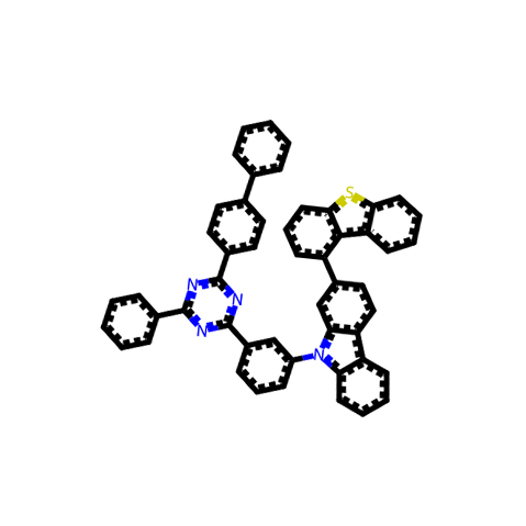 c1ccc(-c2ccc(-c3nc(-c4ccccc4)nc(-c4cccc(-n5c6ccccc6c6ccc(-c7cccc8sc9ccccc9c78)cc65)c4)n3)cc2)cc1